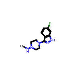 CCNN1CCN(c2n[nH]c3cc(F)ccc23)CC1